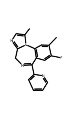 Cc1cc2c(cc1F)C(c1ccccn1)=NCc1ncc(C)n1-2